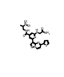 CCN(CC)C(C)CNC(=O)c1cc(NCC(N)=O)nc(-c2cnn3ccc(-c4cccs4)nc23)c1